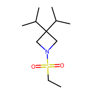 CCS(=O)(=O)N1CC(C(C)C)(C(C)C)C1